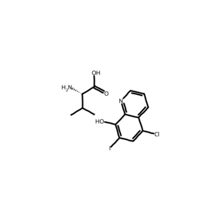 CC(C)[C@H](N)C(=O)O.Oc1c(I)cc(Cl)c2cccnc12